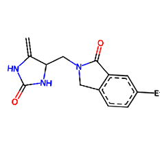 C=C1NC(=O)NC1CN1Cc2ccc(CC)cc2C1=O